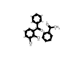 CC(=O)c1ccccc1.O=C(c1ccccc1)c1cccc(Cl)c1Cl